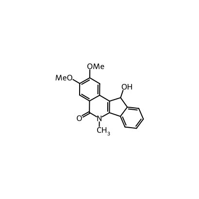 COc1cc2c3c(n(C)c(=O)c2cc1OC)-c1ccccc1C3O